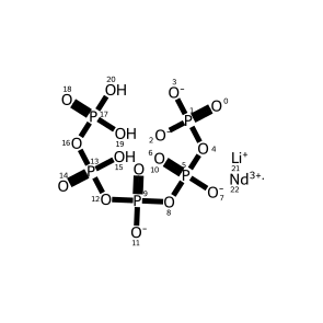 O=P([O-])([O-])OP(=O)([O-])OP(=O)([O-])OP(=O)(O)OP(=O)(O)O.[Li+].[Nd+3]